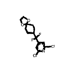 FC(F)(c1cc(Cl)nc(Cl)c1)C1CCC2(CC1)OCCO2